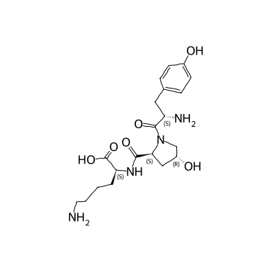 NCCCC[C@H](NC(=O)[C@@H]1C[C@@H](O)CN1C(=O)[C@@H](N)Cc1ccc(O)cc1)C(=O)O